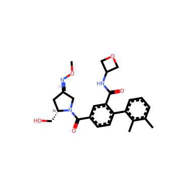 CO/N=C1/C[C@@H](CO)N(C(=O)c2ccc(-c3cccc(C)c3C)c(C(=O)NC3COC3)c2)C1